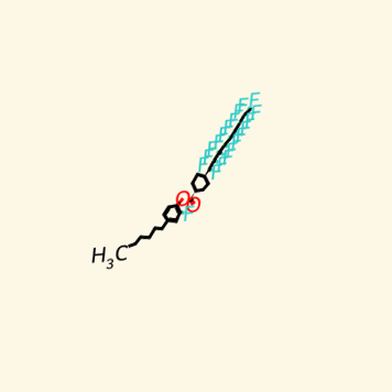 CCCCCCCc1ccc(OC(=O)[C@H]2CC[C@H](C(F)(F)C(F)(F)C(F)(F)C(F)(F)C(F)(F)C(F)(F)C(F)(F)C(F)(F)C(F)(F)F)CC2)c(F)c1